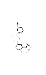 Cc1ccc(NC(=O)Nc2cccc(C#N)c2)cc1-c1c(Br)cnn1C